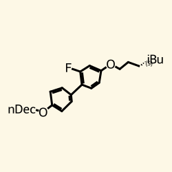 CCCCCCCCCCOc1ccc(-c2ccc(OCCC[C@@H](C)CC)cc2F)cc1